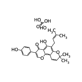 CC(C)=CCc1c2c(c3occ(-c4ccc(O)cc4)c(=O)c3c1O)C=CC(C)(C)O2.O=P(O)(O)O